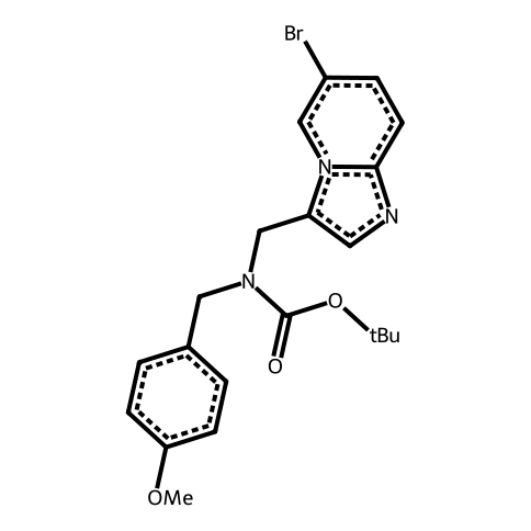 COc1ccc(CN(Cc2cnc3ccc(Br)cn23)C(=O)OC(C)(C)C)cc1